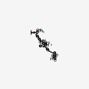 CC1(C)CCC(CN2CCN(c3ccc(C(=O)NS(=O)(=O)c4ccc(N[C@H](CCN5CCN(CCCCCc6cccc7c6C(=O)N(C6CCC(=O)NC6=O)C7=O)CC5)CSc5ccccc5)c(S(=O)(=O)C(F)(F)F)c4)cc3)CC2)=C(C23CC(C(F)F)(C2)C3)C1